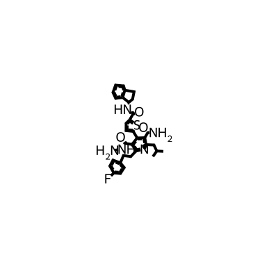 CC(C)Cc1nc(CCc2ccc(F)cc2)c(C(=O)NN)c(-c2ccc(C(=O)N[C@@H]3CCc4ccccc43)s2)c1C(N)=O